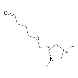 CN1C[C@@H](F)C[C@H]1COCCCC=O